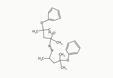 CC(CC(C)(C)Oc1ccccc1)N=NC(C)(Cl)CC(C)(C)Oc1ccccc1